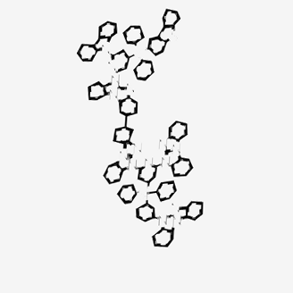 c1ccc([Si](c2ccccc2)(c2cccc(-n3c4ccccc4n4c5ccccc5nc34)c2)c2cc(-n3c4ccccc4n4c5ccccc5nc34)nc(-n3c4ccccc4n4c5ccc(-c6ccc7nc8n(-c9cc([Si](c%10ccccc%10)(c%10ccccc%10)c%10ccc%11sc%12ccccc%12c%11c%10)cc(-n%10c%11ccccc%11c%11ccccc%11%10)n9)c9ccccc9n8c7c6)cc5nc34)c2)cc1